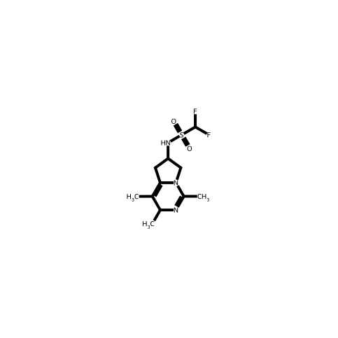 CC1=NC(C)C(C)=C2CC(NS(=O)(=O)C(F)F)CN12